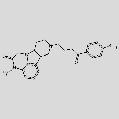 Cc1ccc(C(=O)CCCN2CCC3C(C2)c2cccc4c2N3CC(=O)N4C)cc1